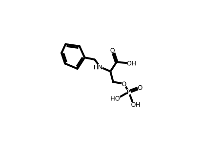 O=C(O)C(COP(=O)(O)O)NCc1ccccc1